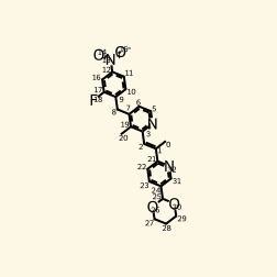 C/C(=C\c1nccc(Cc2ccc([N+](=O)[O-])cc2F)c1C)c1ccc(C2OCCCO2)cn1